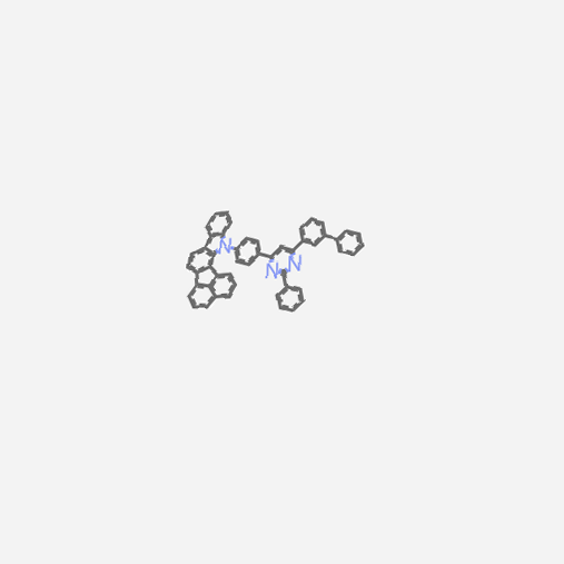 c1ccc(-c2cccc(-c3cc(-c4ccc(-n5c6ccccc6c6ccc7c(c65)-c5cccc6cccc-7c56)cc4)nc(-c4ccccc4)n3)c2)cc1